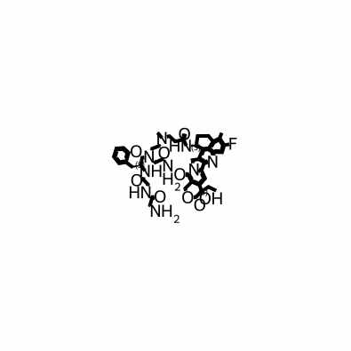 CC[C@@]1(O)C(=O)OCc2c1cc1n(c2=O)Cc2c-1nc1cc(F)c(C)c3c1c2[C@@H](NC(=O)CCN(C)CCN(CC(N)=O)C(=O)[C@H](Cc1ccccc1)NC(=O)CNC(=O)CN)CC3